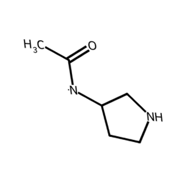 CC(=O)[N]C1CCNC1